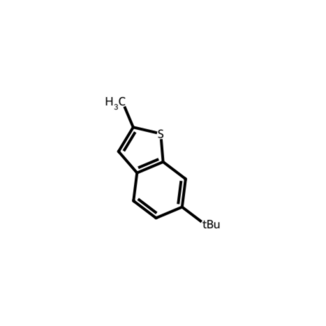 Cc1cc2ccc(C(C)(C)C)cc2s1